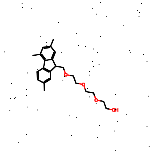 Cc1ccc2c(c1)C(COCCOCCOCCO)c1cc(C)cc(C)c1-2